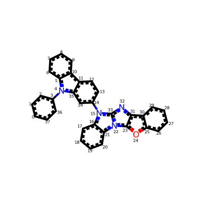 c1ccc(-n2c3ccccc3c3ccc(-n4c5ccccc5n5c6oc7ccccc7c6nc45)cc32)cc1